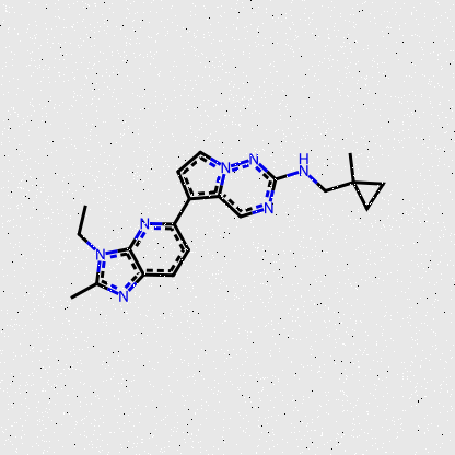 CCn1c(C)nc2ccc(-c3ccn4nc(NCC5(C)CC5)ncc34)nc21